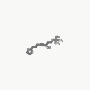 CC(C)(C)[Si](C)(C)OCC[C@H](O)C#CCCCC1OCCO1